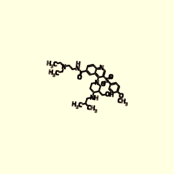 CCN(CC)CCNC(=O)c1ccc2ncc(S(=O)(=O)c3ccc(OC)cc3)c(N3CCC(NCC(C)C)C(CO)C3)c2c1